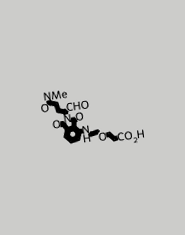 CNC(=O)CCC(C=O)N1C(=O)c2cccc(NCCOCCC(=O)O)c2C1=O